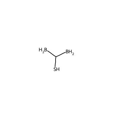 BC(B)S